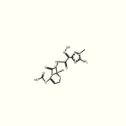 Cn1nc(C(=NO)C(=O)N[C@@H]2C(=O)N3C(OC(=O)O)=CCS[C@@H]23)nc1N